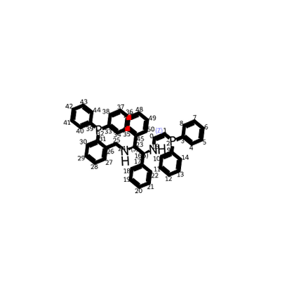 C(=C/P(c1ccccc1)c1ccccc1)/N[C@@H](c1ccccc1)[C@@H](NCc1ccccc1P(c1ccccc1)c1ccccc1)c1ccccc1